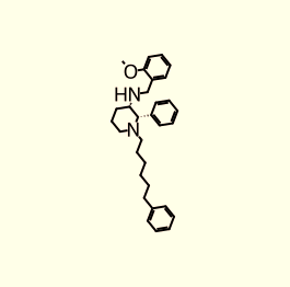 COc1ccccc1CN[C@H]1CCCN(CCCCCCc2ccccc2)[C@H]1c1ccccc1